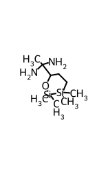 CC(N)(N)C1CC[Si](C)(C)[Si](C)(C)O1